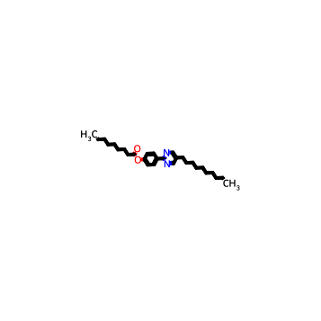 CCCCCCCCCCc1cnc(-c2ccc(OC(=O)CCCCCCCC)cc2)nc1